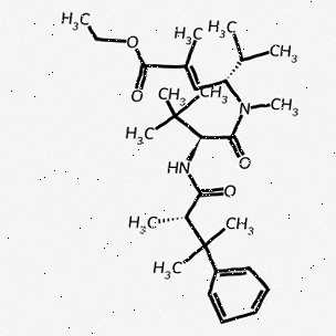 CCOC(=O)/C(C)=C/[C@H](C(C)C)N(C)C(=O)[C@@H](NC(=O)[C@@H](C)C(C)(C)c1ccccc1)C(C)(C)C